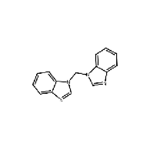 c1ccc2c(c1)ncn2Cn1cnc2ccccc21